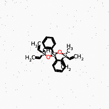 C=C[Si](C)(C=C)O[Si](O[Si](C)(C=C)C=C)(c1ccccc1)c1ccccc1